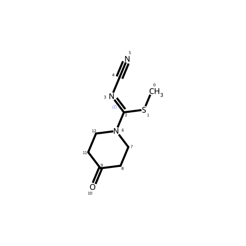 CS/C(=N\C#N)N1CCC(=O)CC1